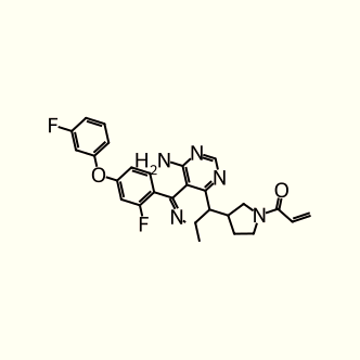 C=CC(=O)N1CCC(C(CC)c2ncnc(N)c2/C(=N\C)c2ccc(Oc3cccc(F)c3)cc2F)C1